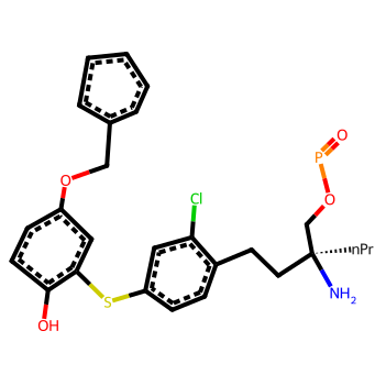 CCC[C@](N)(CCc1ccc(Sc2cc(OCc3ccccc3)ccc2O)cc1Cl)COP=O